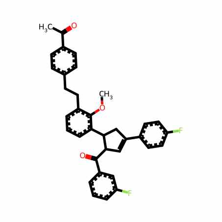 COc1c(CCc2ccc(C(C)=O)cc2)cccc1C1CC(c2ccc(F)cc2)=CC1C(=O)c1cccc(F)c1